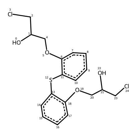 OC(CCl)COc1ccccc1Sc1ccccc1OCC(O)CCl